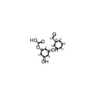 O=C(O)Oc1cc(O)cc(O)c1.O=Cc1ccccc1